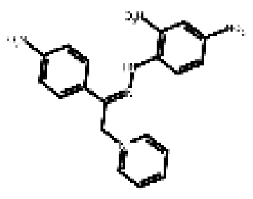 O=[N+]([O-])c1ccc(/C(C[n+]2ccccc2)=N\Nc2ccc([N+](=O)[O-])cc2[N+](=O)[O-])cc1